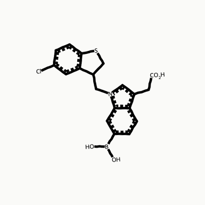 O=C(O)Cc1cn(CC2CSc3ccc(Cl)cc32)c2cc(B(O)O)ccc12